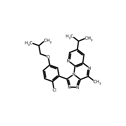 Cc1nc2cc(C(C)C)cnc2n2c(-c3cc(OCC(C)C)ccc3Cl)nnc12